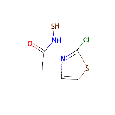 CC(=O)NS.Clc1nccs1